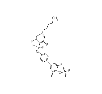 CCCCCc1cc(F)c(C(F)(F)Oc2ccc(-c3cc(F)c(OC(F)(F)F)c(F)c3)cc2)c(F)c1